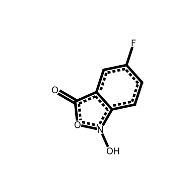 O=c1on(O)c2ccc(F)cc12